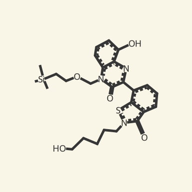 C[Si](C)(C)CCOCn1c(=O)c(-c2cccc3c(=O)n(CCCCCO)sc23)nc2c(O)cccc21